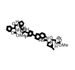 COC(=O)N[C@H](C(=O)N1C2C(C)C2C[C@H]1c1nc2ccc3cc(-c4ccc(-c5cnc([C@]6(C)[C@H]7CC[C@H](C7)N6C(=O)[C@H](NC(=O)OC)c6ccccc6)[nH]5)c(F)c4)ccc3c2[nH]1)C(C)C